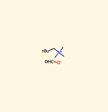 CCCCC[N+](C)(C)C.O=C[O-]